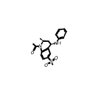 CC(=O)N1c2ccc(S(C)(=O)=O)cc2[C@H](Nc2ccccc2)C[C@@H]1C